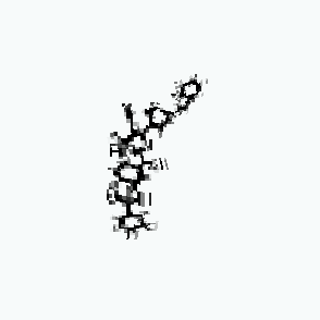 N#Cc1c(-c2ccc(-c3cc4ccccc4s3)cc2)nc(C(S)c2cccc(NC(=O)c3ccc(Cl)c(Cl)c3)c2)[nH]c1=O